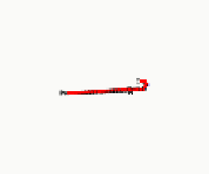 CC/C=C\C/C=C\C/C=C\CCCCCCCC(=O)OCCCCCCCCCCCCCCCCCCCCCCCCCCCCCCCCCCCCCC(C)C